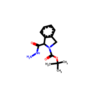 CC(C)(C)OC(=O)N1Cc2ccccc2C1C(=O)NN